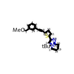 COCc1cccc(C#Cc2ccc(C3=C[N+]4(C(C)(C)C)C=CC=CC4=N3)s2)c1